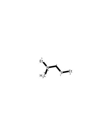 CCSCN(C)CC